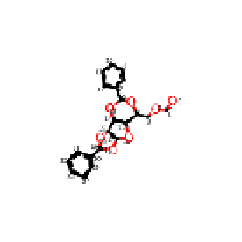 O=COCC1OC(c2ccccc2)OC2C1OC1OC(c3ccccc3)OC12